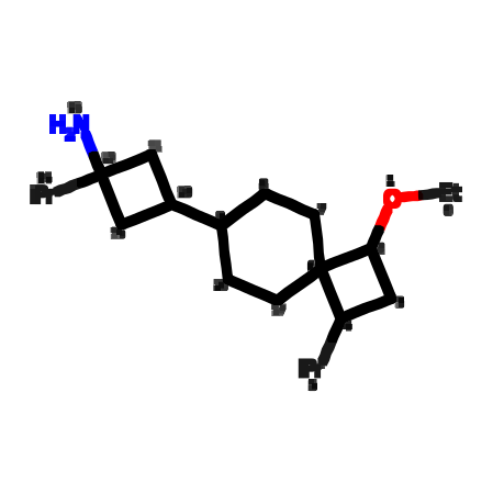 CCOC1CC(C(C)C)C12CCC(C1CC(N)(C(C)C)C1)CC2